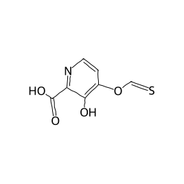 O=C(O)c1nccc(OC=S)c1O